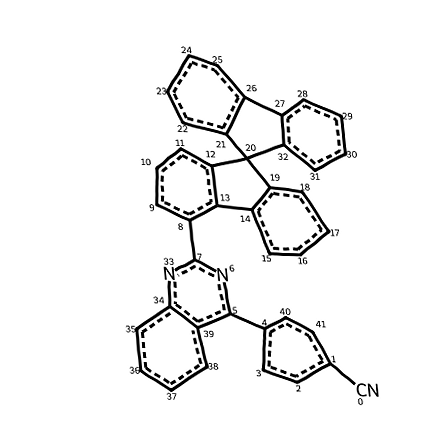 N#Cc1ccc(-c2nc(-c3cccc4c3-c3ccccc3C43c4ccccc4-c4ccccc43)nc3ccccc23)cc1